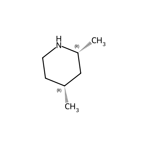 C[C@@H]1CCN[C@H](C)C1